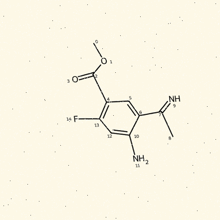 COC(=O)c1cc(C(C)=N)c(N)cc1F